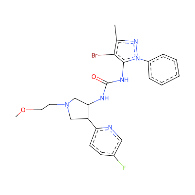 COCCN1CC(NC(=O)Nc2c(Br)c(C)nn2-c2ccccc2)C(c2ccc(F)cn2)C1